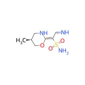 C[C@H]1CN/C(=C(\C=N)S(N)(=O)=O)OC1